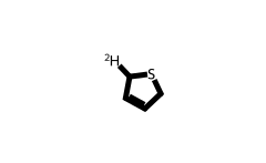 [2H]C1C=CCS1